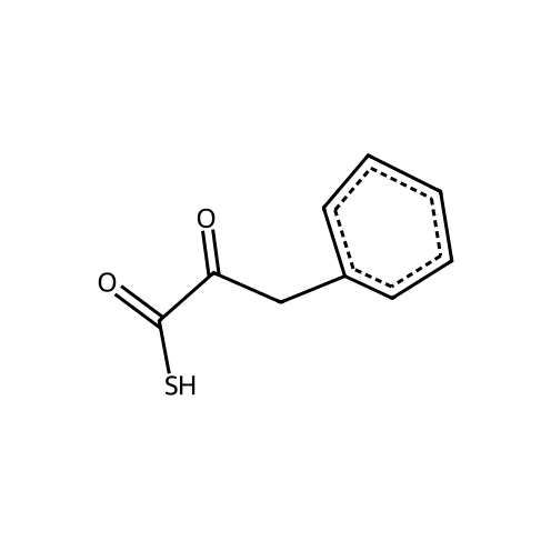 O=C(S)C(=O)Cc1ccccc1